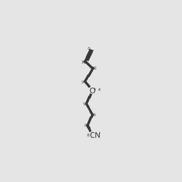 C=CCCOCCCC#N